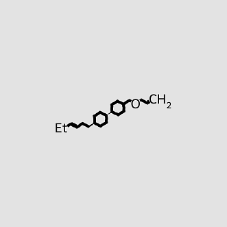 C=CCOCC1CCC([C@H]2CC[C@H](CC/C=C/CC)CC2)CC1